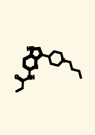 CCCCN1CCC(c2c[nH]c3ccc(NC(=O)CC)nc23)CC1